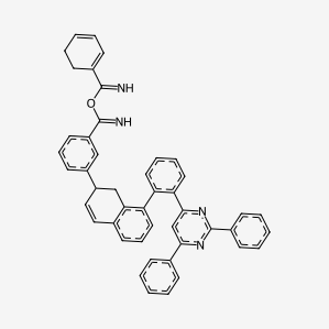 N=C(OC(=N)c1cccc(C2C=Cc3cccc(-c4ccccc4-c4cc(-c5ccccc5)nc(-c5ccccc5)n4)c3C2)c1)C1=CC=CCC1